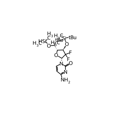 C[SiH](C)OC([C@H]1O[C@@H](n2ccc(N)nc2=O)C(F)(F)[C@@H]1O[Si](C)(C)C(C)(C)C)C(C)(C)C